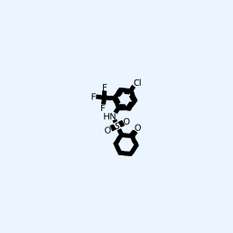 O=C1CCCCC1S(=O)(=O)Nc1ccc(Cl)cc1C(F)(F)F